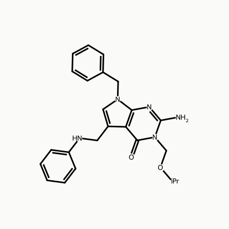 CC(C)OCn1c(N)nc2c(c(CNc3ccccc3)cn2Cc2ccccc2)c1=O